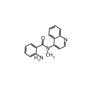 CN(C(=O)c1ccccc1N)c1ccnc2ccccc12